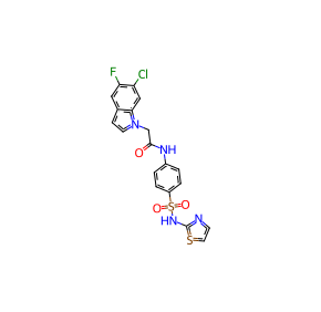 O=C(Cn1ccc2cc(F)c(Cl)cc21)Nc1ccc(S(=O)(=O)Nc2nccs2)cc1